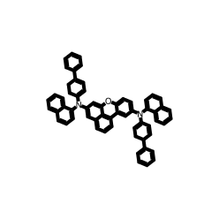 C1=CC(c2ccccc2)CC=C1N(c1ccc2c(c1)-c1cccc3cc(N(C4=CC=C(c5ccccc5)CC4)c4cccc5ccccc45)cc(c13)O2)c1cccc2ccccc12